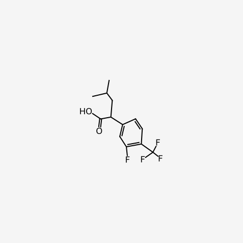 CC(C)CC(C(=O)O)c1ccc(C(F)(F)F)c(F)c1